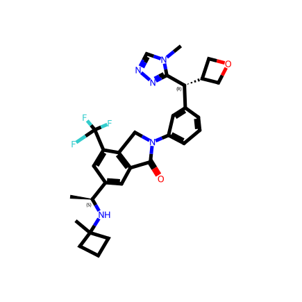 C[C@H](NC1(C)CCC1)c1cc2c(c(C(F)(F)F)c1)CN(c1cccc([C@H](c3nncn3C)C3COC3)c1)C2=O